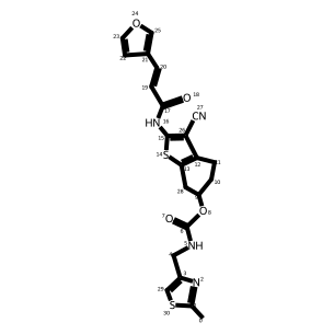 Cc1nc(CNC(=O)OC2CCc3c(sc(NC(=O)C=Cc4ccoc4)c3C#N)C2)cs1